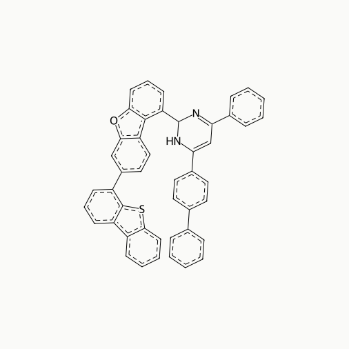 C1=C(c2ccc(-c3ccccc3)cc2)NC(c2cccc3oc4cc(-c5cccc6c5sc5ccccc56)ccc4c23)N=C1c1ccccc1